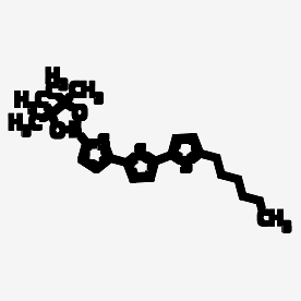 CCCCCCc1ccc(-c2ccc(-c3ccc(B4OC(C)(C)C(C)(C)O4)s3)s2)s1